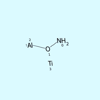 N[O][Al].[Ti]